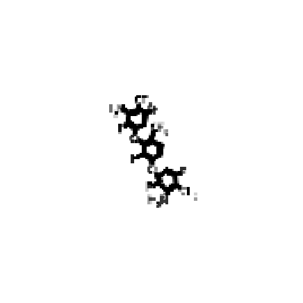 Nc1c(F)c(Oc2ccc(C(F)(F)F)c(Oc3cc(F)c(C(F)(F)F)c(N)c3F)c2F)cc(F)c1C(F)(F)F